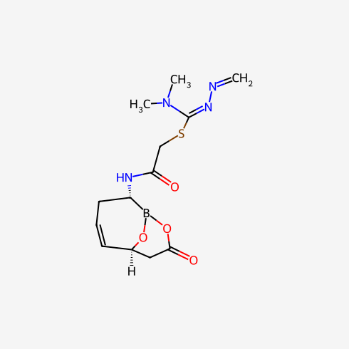 C=N/N=C(/SCC(=O)N[C@H]1CC=C[C@@H]2CC(=O)OB1O2)N(C)C